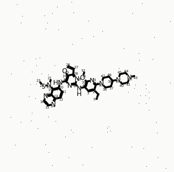 CCc1cc(Nc2nc(Nc3ccc4nccnc4c3N(C)SC)c3occc3n2)c(OC)nc1N1CCC(N2CCN(C)CC2)CC1